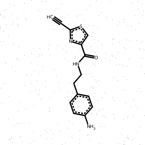 C#Cc1nc(C(=O)NCCc2ccc(N)cc2)cs1